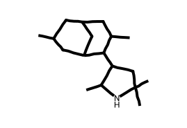 CC1CC2CC(C)C(C3CC(C)(C)NC3C)C(C1)C2